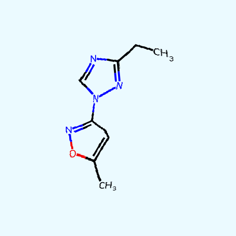 CCc1ncn(-c2cc(C)on2)n1